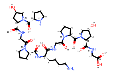 NCCCC[C@H](NC(=O)[C@@H]1CCCN1C(=O)CNC(=O)[C@@H]1C[C@@H](O)CN1C(=O)[C@@H]1CCCN1)C(=O)NCC(=O)N1CCC[C@H]1C(=O)N1C[C@H](O)C[C@H]1C(=O)NCC(=O)O